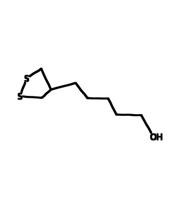 OCCCCCC1CSSC1